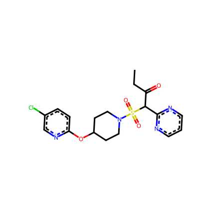 CCC(=O)C(c1ncccn1)S(=O)(=O)N1CCC(Oc2ccc(Cl)cn2)CC1